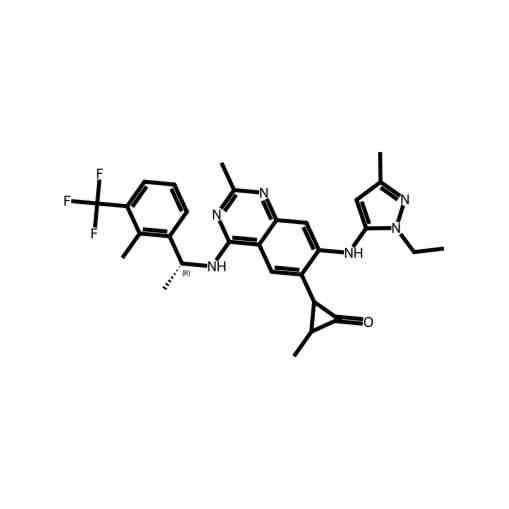 CCn1nc(C)cc1Nc1cc2nc(C)nc(N[C@H](C)c3cccc(C(F)(F)F)c3C)c2cc1C1C(=O)C1C